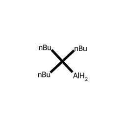 CCCC[C]([AlH2])(CCCC)CCCC